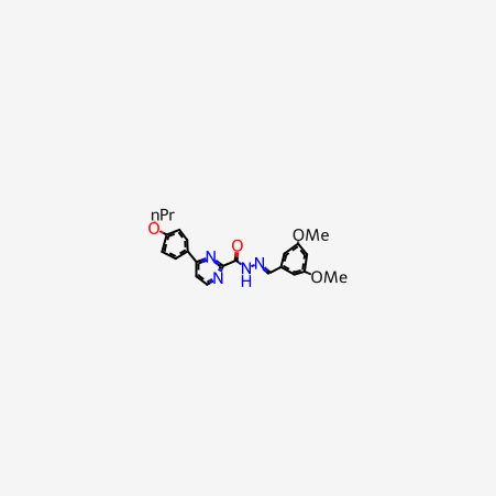 CCCOc1ccc(-c2ccnc(C(=O)NN=Cc3cc(OC)cc(OC)c3)n2)cc1